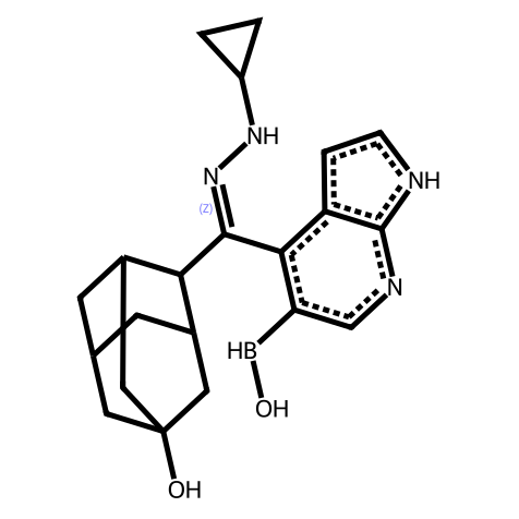 OBc1cnc2[nH]ccc2c1/C(=N\NC1CC1)C1C2CC3CC1CC(O)(C3)C2